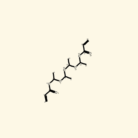 C=CC(=O)OC(C)OC(C)OC(C)OC(C)OC(=O)C=C